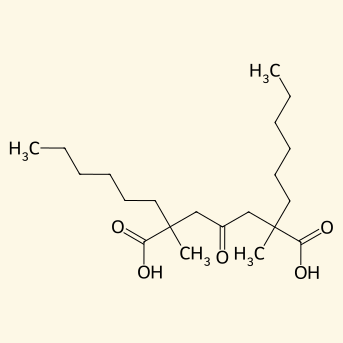 CCCCCCC(C)(CC(=O)CC(C)(CCCCCC)C(=O)O)C(=O)O